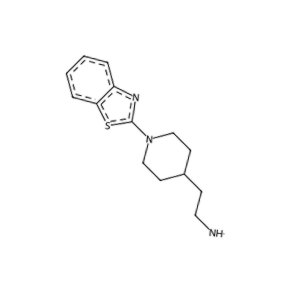 [NH]CCC1CCN(c2nc3ccccc3s2)CC1